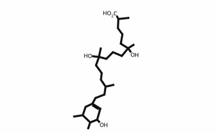 CC(CCCC(C)(O)CCCC(C)(O)CCCC(C)C(=O)O)CCC1=CC(O)C(C)C(C)C1